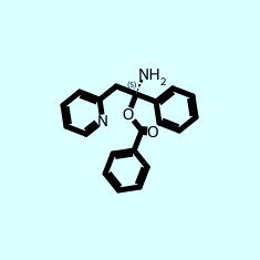 N[C@@](Cc1ccccn1)(OC(=O)c1ccccc1)c1ccccc1